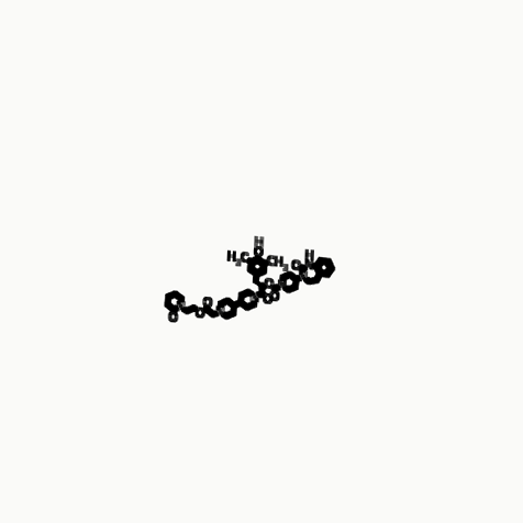 Cc1cc(C[C@@H](OC(=O)N2CCC(N3CCc4ccccc4NC3=O)CC2)C(=O)N2CCC(C3CCN(CC(=O)OCCN4CCCCC4=O)CC3)CC2)cc(C)c1O